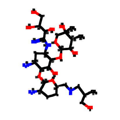 CC(CO)CNC[C@@H]1CCC(N)[C@@H](OC2C(O)C(O[C@H]3OCC(C)(O)[C@H](C)C3O)[C@H](NC(=N)C(O)C(O)CO)C[C@@H]2N)O1